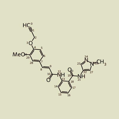 C#CCOc1ccc(/C=C/C(=O)Nc2ccccc2C(=O)Nc2cnn(C)c2)cc1OC